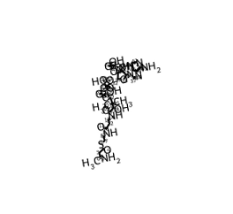 C[C@H](N)CC(=O)SCCNC(=O)CCNC(=O)[C@H](O)C(C)(C)COP(=O)(O)OP(=O)(O)OC[C@H]1O[C@@H](n2cnc3c(N)ncnc32)[C@H](O)[C@@H]1OP(=O)(O)O